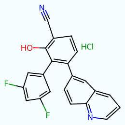 Cl.N#Cc1ccc(-c2ccc3ncccc3c2)c(-c2cc(F)cc(F)c2)c1O